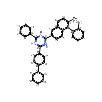 CCc1ccccc1-c1c(CC)ccc2cc(-c3nc(-c4ccccc4)nc(-c4ccc(-c5ccccc5)cc4)n3)ccc12